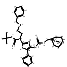 CC(C)(C)OC(=O)N(CCOCc1ccccc1)c1nc(NC(=O)OCC23CCN(CC2)CC3)c(-c2ccccc2)s1